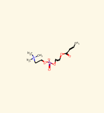 CC=CC(=O)OCCOP(=O)([O-])OCC[N+](C)(C)C